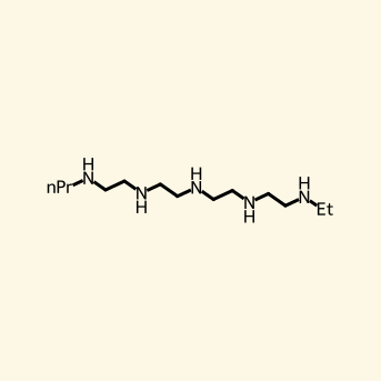 CCCNCCNCCNCCNCCNCC